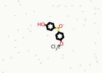 [O-][S+](c1ccc(O)cc1)c1ccc(OC(Cl)(Cl)Cl)cc1